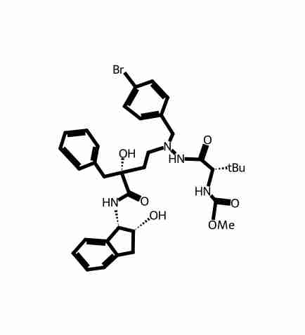 COC(=O)N[C@H](C(=O)NN(CC[C@](O)(Cc1ccccc1)C(=O)N[C@H]1c2ccccc2C[C@H]1O)Cc1ccc(Br)cc1)C(C)(C)C